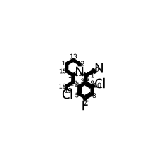 N#CC(c1ccc(F)cc1Cl)N1CCCCC1CCCl